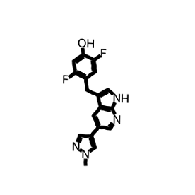 Cn1cc(-c2cnc3[nH]cc(Cc4cc(F)c(O)cc4F)c3c2)cn1